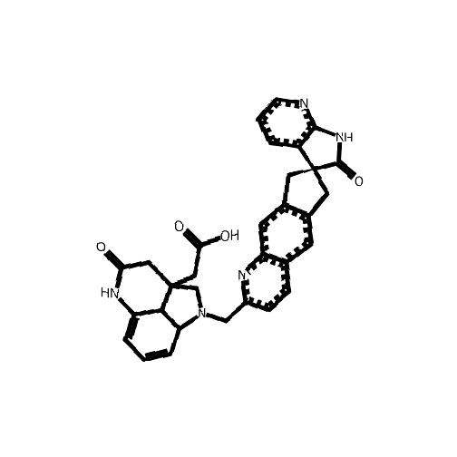 O=C(O)CC12CC(=O)NC3=CC=CC(C31)N(Cc1ccc3cc4c(cc3n1)C[C@]1(C4)C(=O)Nc3ncccc31)C2